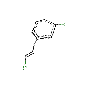 ClC=Cc1cccc(Cl)c1